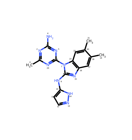 Cc1nc(N)nc(-n2c(Nc3ccn[nH]3)nc3cc(C)c(C)cc32)n1